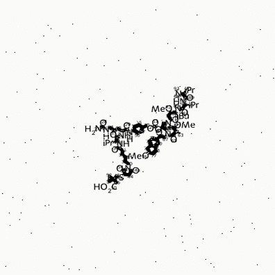 CC[C@H](C)[C@@H]([C@@H](CC(=O)N1C[C@@H](OC(=O)OCc2ccc(NC(=O)C(CCCNC(N)=O)NC(=O)[C@@H](NC(=O)CCCCCN3C(=O)CC(SCC4(CC(=O)O)CC4)C3=O)C(C)C)cc2)C[C@H]1[C@H](OC)[C@@H](C)C(=O)NCC(=O)c1ccc2cc(OC)ccc2c1)OC)N(C)C(=O)[C@@H](NC(=O)[C@H](C(C)C)N(C)C)C(C)C